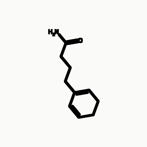 NC(=O)CCCC1=CCCC=C1